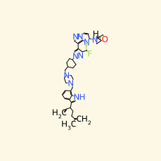 C=CC(CCC(=C)C)c1c[nH]c2c(CN3CCN(CC4CCC(n5cc(-c6cnn7ccc(N8CC9OC[C@H]98)nc67)c(C(F)F)n5)CC4)CC3)cccc12